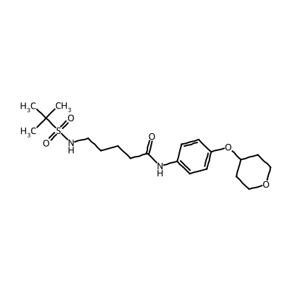 CC(C)(C)S(=O)(=O)NCCCCC(=O)Nc1ccc(OC2CCOCC2)cc1